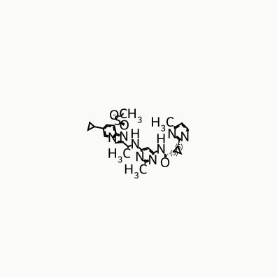 Cc1ccnc([C@H]2C[C@@H]2C(=O)Nc2cc(NC(C)c3cn4cc(C5CC5)cc(S(C)(=O)=O)c4n3)nc(C)n2)n1